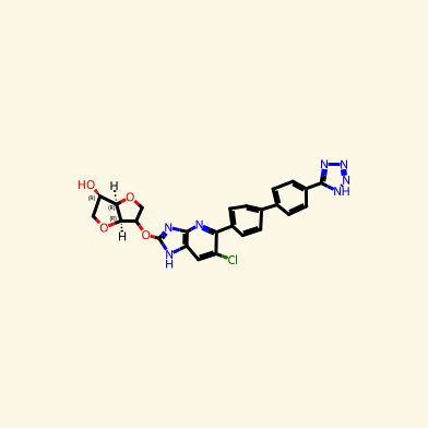 O[C@@H]1CO[C@@H]2C(Oc3nc4nc(-c5ccc(-c6ccc(-c7nnn[nH]7)cc6)cc5)c(Cl)cc4[nH]3)CO[C@H]12